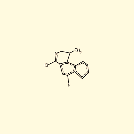 CC1CN=C(Cl)c2cc(F)c3ccccc3c21